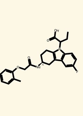 CCC(C(=O)O)n1c2c(c3cc(F)ccc31)C[C@@H](NC(=O)COc1ccccc1C)CC2